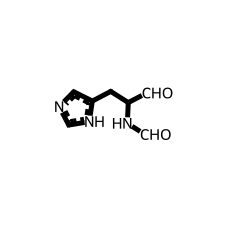 O=CNC(C=O)Cc1cnc[nH]1